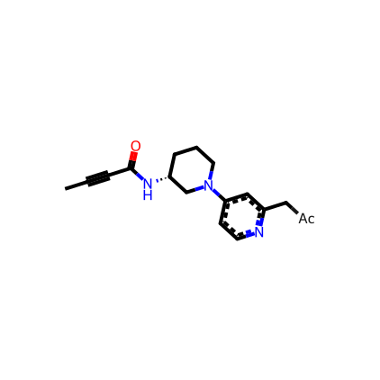 CC#CC(=O)N[C@@H]1CCCN(c2ccnc(CC(C)=O)c2)C1